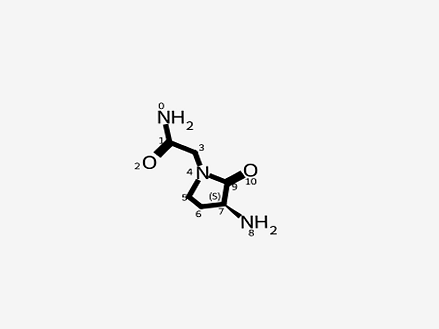 NC(=O)CN1CC[C@H](N)C1=O